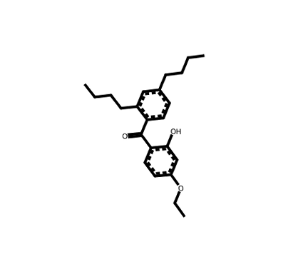 CCCCc1ccc(C(=O)c2ccc(OCC)cc2O)c(CCCC)c1